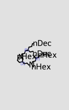 CCCCCC/C=C(\CCCCCC)CCN(CC/C=C1/CCCN(CC/C=C(\CCCCCCCCCCCC)CCCCCCCCCCCCC)C1)CCCCCC